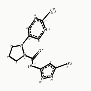 CC(C)(C)c1cc(NC(=O)N2CCCN2c2cnc(C(F)(F)F)nc2)on1